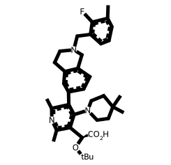 Cc1cccc(CN2CCc3cc(-c4c(C)nc(C)c([C@H](OC(C)(C)C)C(=O)O)c4N4CCC(C)(C)CC4)ccc3C2)c1F